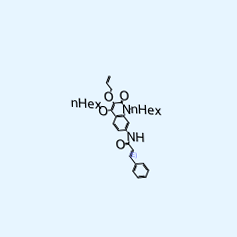 C=CCOc1c(OCCCCCC)c2ccc(NC(=O)/C=C/c3ccccc3)cc2n(CCCCCC)c1=O